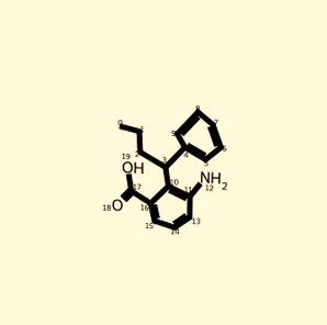 CCCC(c1ccccc1)c1c(N)cccc1C(=O)O